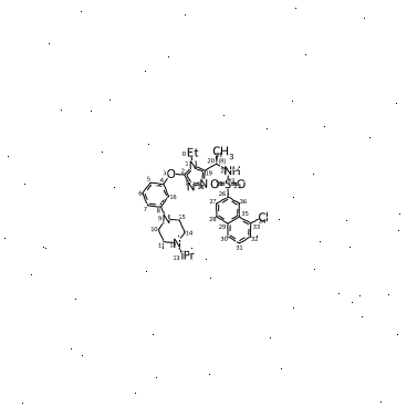 CCn1c(Oc2cccc(N3CCN(C(C)C)CC3)c2)nnc1[C@@H](C)NS(=O)(=O)c1ccc2cccc(Cl)c2c1